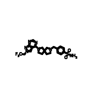 NS(=O)(=O)c1ccc(CN2CCC3(CCN(c4ncnc5nn(CC(F)(F)F)cc45)C3)C2)cc1